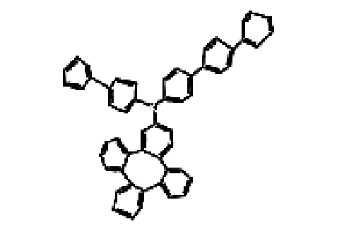 c1ccc(-c2ccc(-c3ccc(N(c4ccc(-c5ccccc5)cc4)c4ccc5c(c4)-c4ccccc4-c4ccccc4-c4ccccc4-5)cc3)cc2)cc1